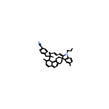 C=C(/C=C/C=C1/N(CCC)c2ccc(C)cc2C12CCCCC2)C(C)(Cc1ccc(C#N)cc1)c1c(C)ccc2ccccc12